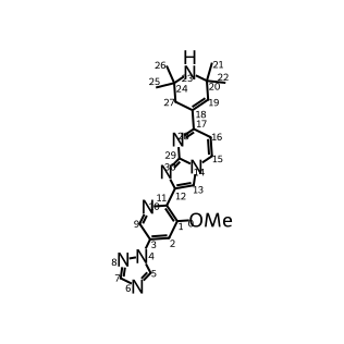 COc1cc(-n2cncn2)cnc1-c1cn2ccc(C3=CC(C)(C)NC(C)(C)C3)nc2n1